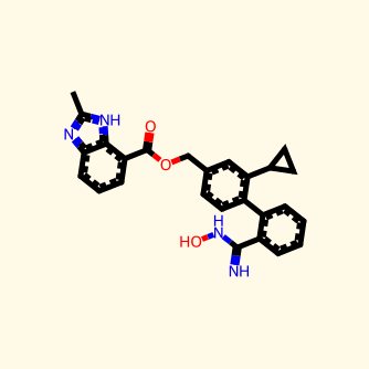 Cc1nc2cccc(C(=O)OCc3ccc(-c4ccccc4C(=N)NO)c(C4CC4)c3)c2[nH]1